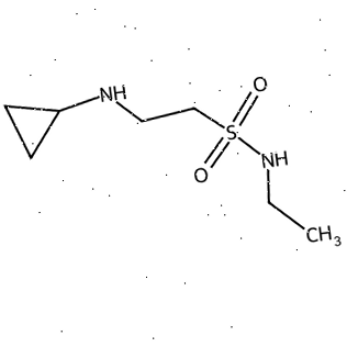 CCNS(=O)(=O)CCNC1CC1